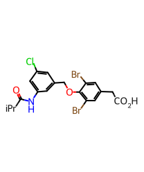 CC(C)C(=O)Nc1cc(Cl)cc(COc2c(Br)cc(CC(=O)O)cc2Br)c1